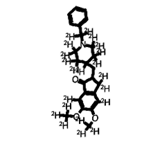 [2H]c1c(OC([2H])([2H])[2H])c(OC([2H])([2H])[2H])c([2H])c2c1C(=O)C(CC1([2H])C([2H])([2H])C([2H])([2H])N(C([2H])([2H])c3ccccc3)C([2H])([2H])C1([2H])[2H])C2([2H])[2H]